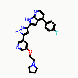 Fc1ccc(-c2ccnc3[nH]c(-c4cc(-c5cncc(OCCN6CCCC6)c5)[nH]n4)cc23)cc1